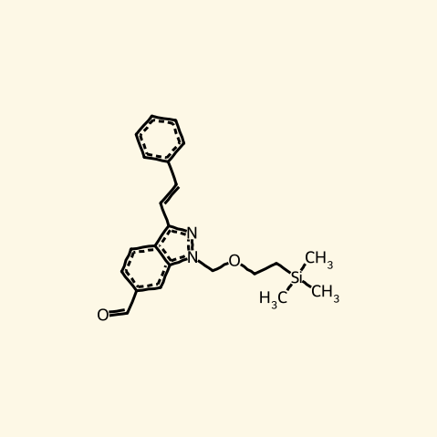 C[Si](C)(C)CCOCn1nc(C=Cc2ccccc2)c2ccc(C=O)cc21